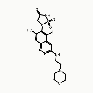 O=C1CN(c2c(O)cc3nnc(NCCN4CCOCC4)cc3c2F)S(=O)(=O)N1